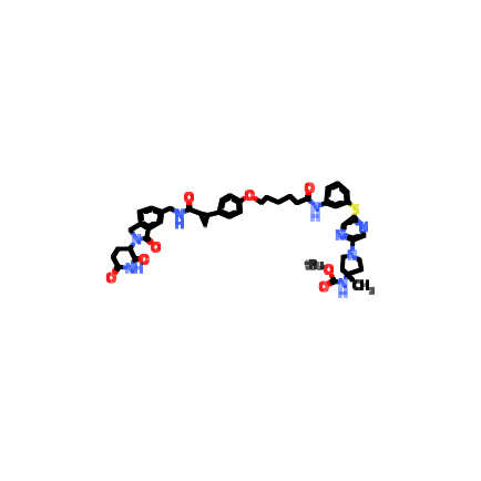 CC1(NC(=O)OC(C)(C)C)CCN(c2cnc(Sc3cccc(NC(=O)CCCCCOc4ccc(C5CC5C(=O)NCc5ccc6c(c5)C(=O)N(C5CCC(=O)NC5=O)C6)cc4)c3)cn2)CC1